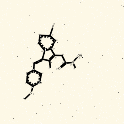 CSc1ccc(/C=C2\C(C)=C(CC(=O)N(C)O)c3cc(F)ccc32)cc1